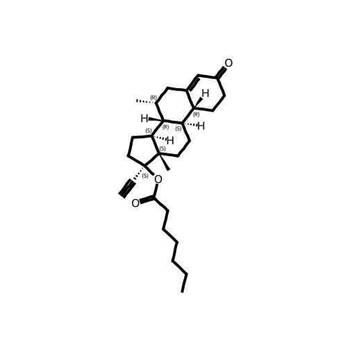 C#C[C@]1(OC(=O)CCCCCC)CC[C@H]2[C@H]3[C@H](CC[C@@]21C)[C@H]1CCC(=O)C=C1C[C@H]3C